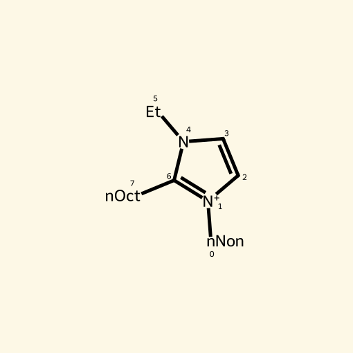 CCCCCCCCC[n+]1ccn(CC)c1CCCCCCCC